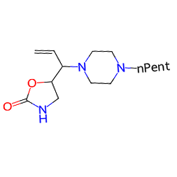 C=CC(C1CNC(=O)O1)N1CCN(CCCCC)CC1